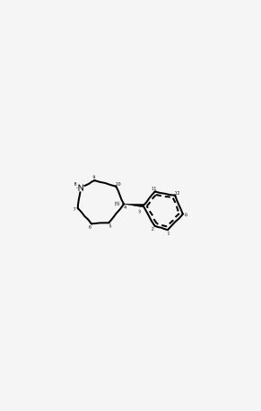 c1ccc([C@H]2CCC[N]CC2)cc1